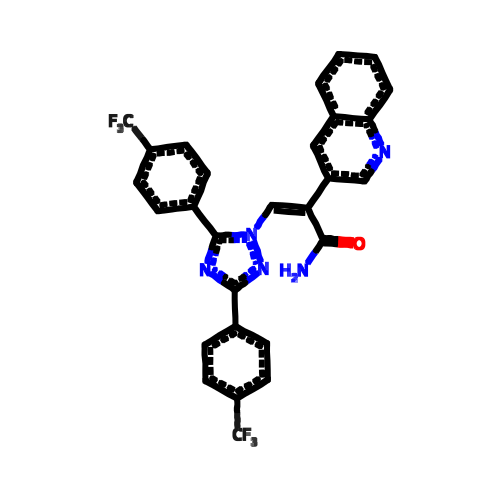 NC(=O)C(=Cn1nc(-c2ccc(C(F)(F)F)cc2)nc1-c1ccc(C(F)(F)F)cc1)c1cnc2ccccc2c1